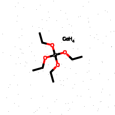 CCO[Si](OCC)(OCC)OCC.[GeH4]